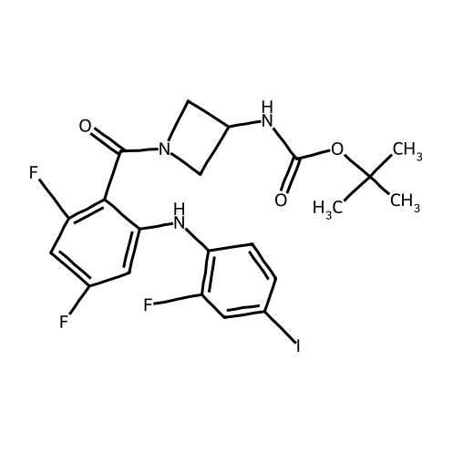 CC(C)(C)OC(=O)NC1CN(C(=O)c2c(F)cc(F)cc2Nc2ccc(I)cc2F)C1